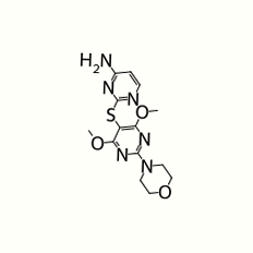 COc1nc(N2CCOCC2)nc(OC)c1Sc1nccc(N)n1